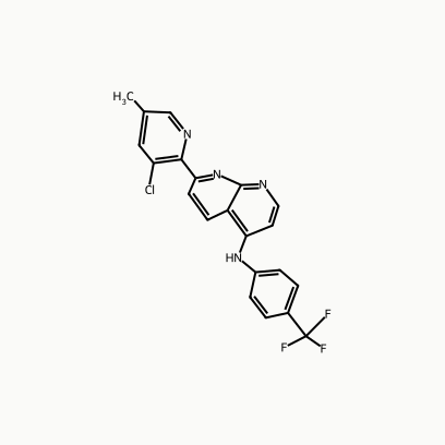 Cc1cnc(-c2ccc3c(Nc4ccc(C(F)(F)F)cc4)ccnc3n2)c(Cl)c1